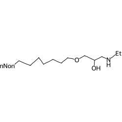 CCCCCCCCCCCCCCCCOCC(O)CNCC